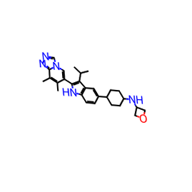 Cc1c(-c2[nH]c3ccc(C4CCC(NC5COC5)CC4)cc3c2C(C)C)cn2cnnc2c1C